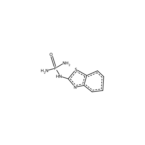 NP(N)(=O)Nc1nc2ccccc2s1